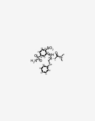 CN(C)C(=O)C[C@H](CSc1ccccc1)Nc1cc(S(N)(=O)=O)ccc1[N+](=O)[O-]